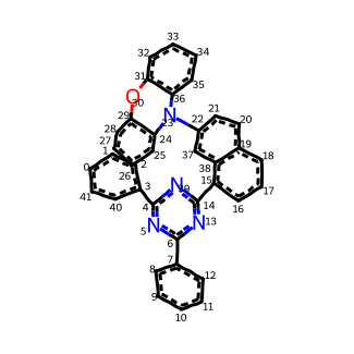 c1ccc(-c2nc(-c3ccccc3)nc(-c3cccc4ccc(N5c6ccccc6Oc6ccccc65)cc34)n2)cc1